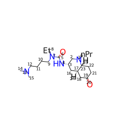 CCCN1C[C@@H](NC(=O)N(CC)CCCCN(C)C)C[C@@H]2CC(=O)CC[C@H]21